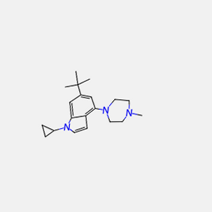 CN1CCN(c2cc(C(C)(C)C)cc3c2ccn3C2CC2)CC1